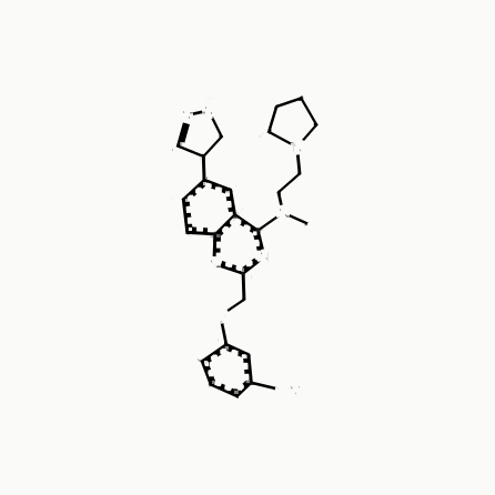 COc1cccc(OCc2nc(N(C)CCN3CCCC3)c3cc(C4C=NNC4)ccc3n2)c1